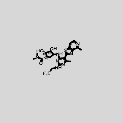 Cc1nc(NCC(F)(F)F)nc(NC2C[C@H](C(=O)N(C)C)[C@@H](O)[C@H]2O)c1-c1nc2c(C)nccc2s1